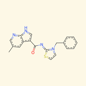 Cc1cnc2[nH]cc(C(=O)/N=c3\sccn3Cc3ccccc3)c2c1